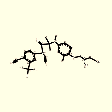 Cc1cc(N(C)C(C)(C)C(=O)N(C=S)c2ccc(C#N)c(C(F)(F)F)c2)ccc1OC[C@@H](O)CO